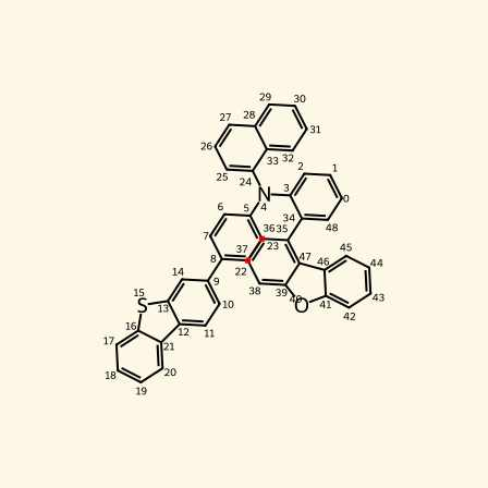 c1ccc(N(c2ccc(-c3ccc4c(c3)sc3ccccc34)cc2)c2cccc3ccccc23)c(-c2cccc3oc4ccccc4c23)c1